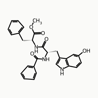 COC(=O)[C@@H](Cc1ccccc1)NC(=O)[C@H](Cc1c[nH]c2ccc(O)cc12)NC(=O)c1ccccc1